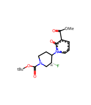 COC(=O)c1cccn(C2CCN(C(=O)OC(C)(C)C)C[C@H]2F)c1=O